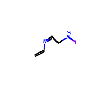 C=C/N=C\CNI